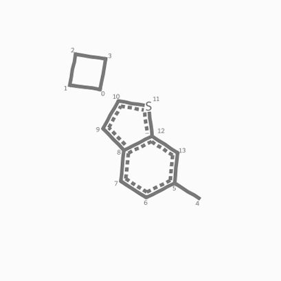 C1CCC1.Cc1ccc2ccsc2c1